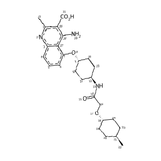 Cc1nc2cccc(O[C@H]3CC[C@H](NC(=O)CO[C@H]4CC[C@H](C)CC4)CC3)c2c(N)c1C(=O)O